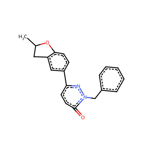 CC1Cc2cc(-c3ccc(=O)n(Cc4ccccc4)n3)ccc2O1